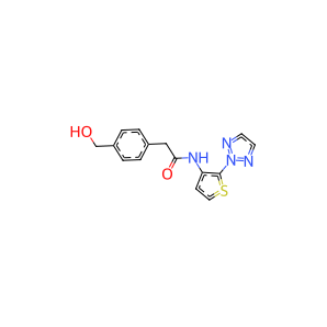 O=C(Cc1ccc(CO)cc1)Nc1ccsc1-n1nccn1